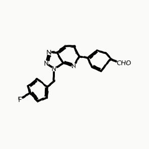 O=CC1C=CC(C2CC=c3nnn(Cc4ccc(F)cc4)c3=N2)=CC1